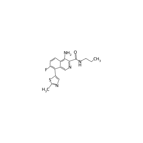 CCCNC(=O)c1ncc2c(-c3cnc(C)s3)c(F)ccc2c1N